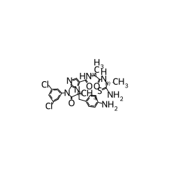 C[C@H](NC(=O)c1cnc2n1[C@](C)(Cc1ccc(N)cc1)C(=O)N2c1cc(Cl)cc(Cl)c1)C(=O)N[C@H](C)C(N)=S